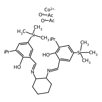 CC(=O)[O-].CC(=O)[O-].CC(C)c1cc([Si](C)(C)C)cc(C=NC2CCCCC2N=Cc2cc([Si](C)(C)C)cc(C(C)C)c2O)c1O.[Co+2]